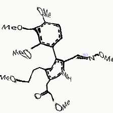 COCCc1c(C(=O)OC)[nH]c(/C=N/OC)c1-c1ccc(OC)c(OC)c1OC